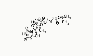 C#C[C@]1(C)[C@@H]2O[P@@](=O)(OCCCC(=O)OC(C)C)OC[C@H]2O[C@H]1n1ccc(=O)[nH]c1=O